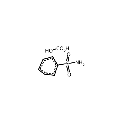 NS(=O)(=O)c1ccccc1.O=C(O)O